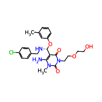 Cc1cccc(O[C@@H](NCc2ccc(Cl)cc2)c2c(N)n(C)c(=O)n(CCOCCO)c2=O)c1